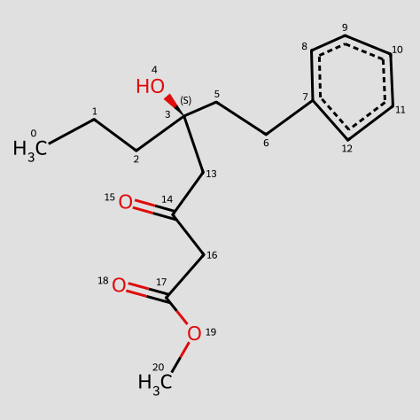 CCC[C@](O)(CCc1ccccc1)CC(=O)CC(=O)OC